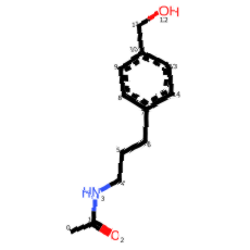 CC(=O)NCCCc1ccc(CO)cc1